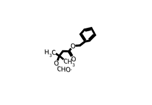 CC(C)(CC(=O)OCc1ccccc1)O[C]=O